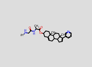 CC(C)NCC(=O)NC(C)C(=O)OC1CCC2(C)C(=CCC3C2CCC2(C)C(c4cccnc4)=CCC32)C1